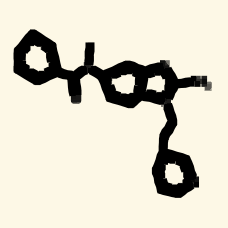 CN(C(=O)c1ccccc1)c1ccc2c(c1)nc(N)n2CCc1cccnc1